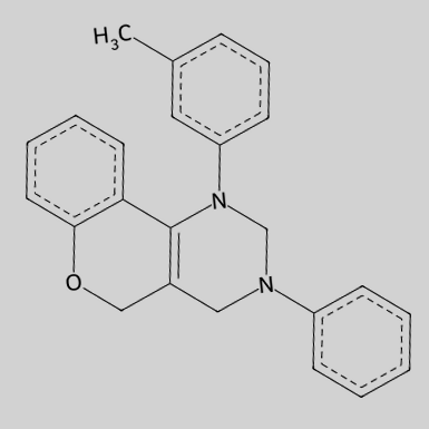 Cc1cccc(N2CN(c3ccccc3)CC3=C2c2ccccc2OC3)c1